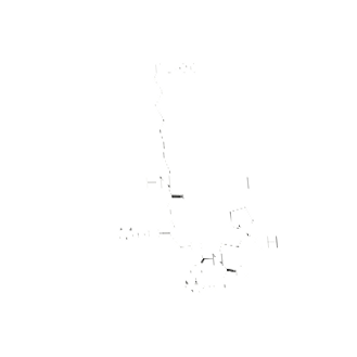 CCCCCCCCCCCCCCCCCCNC(=O)OCC(COC(=O)N(CC[N+]1(C)CCCC1)C(=O)OC)OC.[I-]